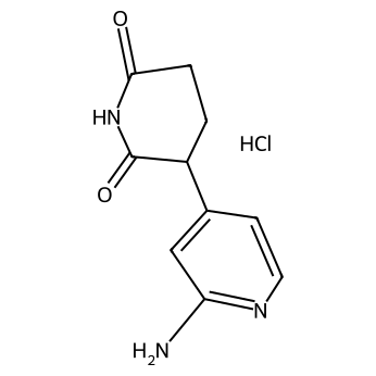 Cl.Nc1cc(C2CCC(=O)NC2=O)ccn1